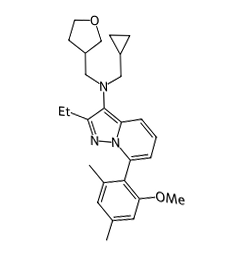 CCc1nn2c(-c3c(C)cc(C)cc3OC)cccc2c1N(CC1CC1)CC1CCOC1